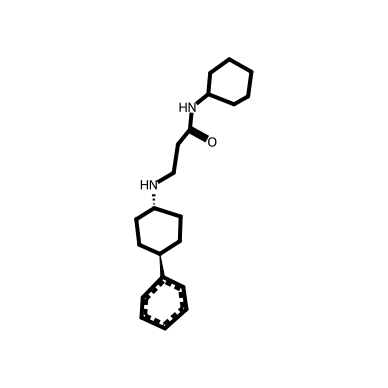 O=C(CCN[C@H]1CC[C@H](c2ccccc2)CC1)NC1CCCCC1